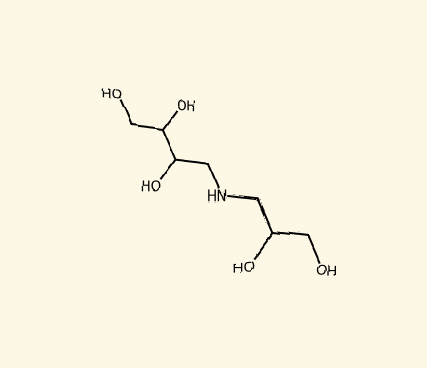 OCC(O)CNCC(O)C(O)CO